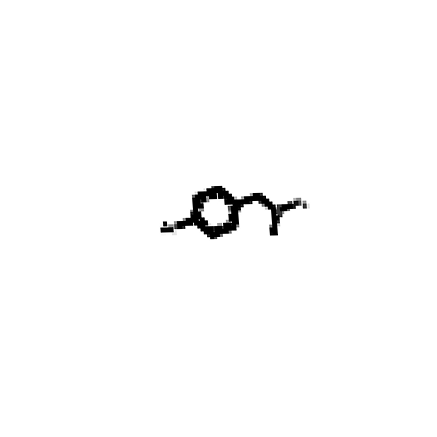 CC(=O)c1ccc(CN(C)C(C)=O)cc1